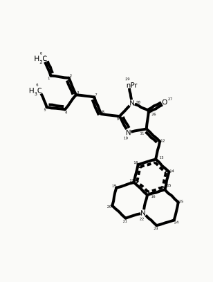 C=C/C=C(\C=C/C)/C=C/C1=NC(=C\c2cc3c4c(c2)CCCN4CCC3)/C(=O)N1CCC